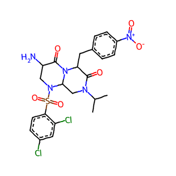 CC(C)N1CC2N(C(=O)C(N)CN2S(=O)(=O)c2ccc(Cl)cc2Cl)C(Cc2ccc([N+](=O)[O-])cc2)C1=O